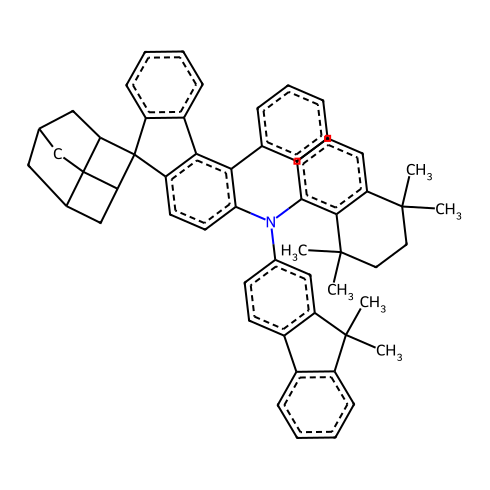 CC1(C)CCC(C)(C)c2c(N(c3ccc4c(c3)C(C)(C)c3ccccc3-4)c3ccc4c(c3-c3ccccc3)-c3ccccc3C43C4CC5CC6CC3C64C5)cccc21